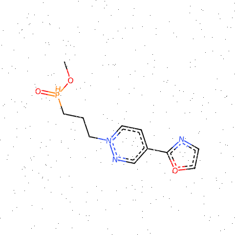 CO[PH](=O)CCC[n+]1ccc(-c2ncco2)cn1